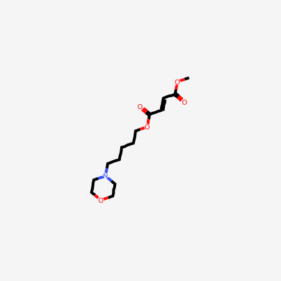 COC(=O)/C=C/C(=O)OCCCCCN1CCOCC1